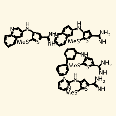 CSc1sc(C(=N)N)cc1Nc1ccc2ncccc2c1.CSc1sc(C(=N)N)cc1Nc1cccc(-c2ccccc2)c1.CSc1sc(C(=N)N)cc1Nc1cnc2ccccc2c1.CSc1sc(C(=N)N)cc1Nc1ncccn1